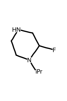 CC(C)N1CCNCC1F